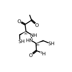 [3H]C(=O)[C@H](CS)NN[C@@H](CS)C(=O)C(C)=O